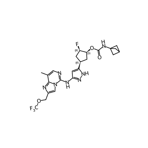 Cc1cnc(Nc2cc([C@H]3C[C@@H](F)[C@@H](OC(=O)NC45CC(C4)C5)C3)[nH]n2)n2cc(COC(F)(F)F)nc12